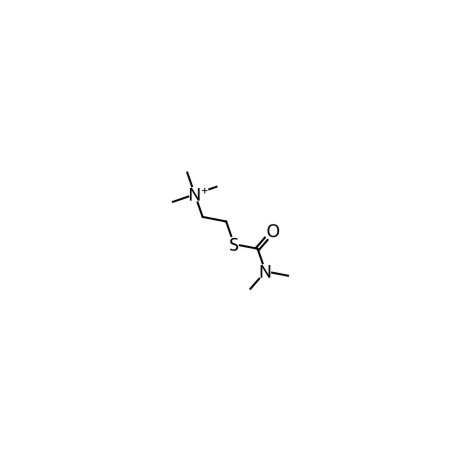 CN(C)C(=O)SCC[N+](C)(C)C